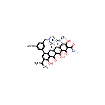 C=C(C)c1cc(-c2cc(CN(C)C)cc(OC)c2)c2c(c1O)C(=O)C1=C(O)[C@]3(O)C(=O)C(C(N)=O)=C(O)[C@@H](N(C)C)[C@@H]3C[C@@H]1C2